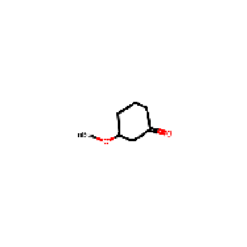 CCCCOC1CCCC(=O)C1